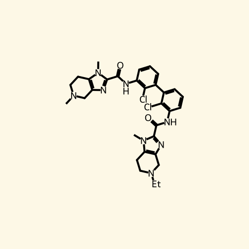 CCN1CCc2c(nc(C(=O)Nc3cccc(-c4cccc(NC(=O)c5nc6c(n5C)CCN(C)C6)c4Cl)c3Cl)n2C)C1